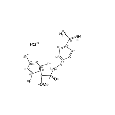 COC(C(=O)NCc1ccc(C(=N)N)cc1)c1c(F)cc(Br)cc1F.Cl